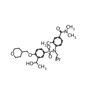 Cc1cc(C(=O)N(C)C)ccc1N(CC(C)C)S(=O)(=O)c1ccc(OCC2CCOCC2)c(C(C)O)c1